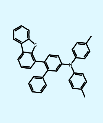 Cc1ccc(N(c2ccc(C)cc2)c2ccc(-c3cccc4c3sc3ccccc34)c(-c3ccccc3)c2)cc1